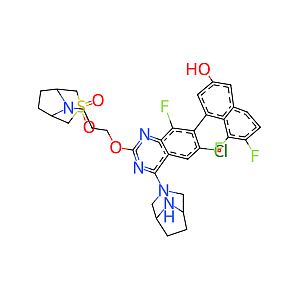 O=S1(=O)CC2CCC(C1)N2CCCOc1nc(N2CC3CCC(C2)N3)c2cc(Cl)c(-c3cc(O)cc4ccc(F)c(F)c34)c(F)c2n1